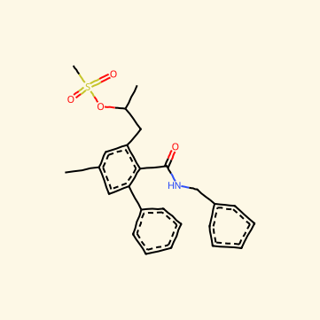 Cc1cc(CC(C)OS(C)(=O)=O)c(C(=O)NCc2ccccc2)c(-c2ccccc2)c1